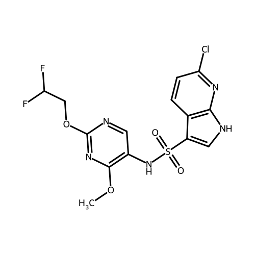 COc1nc(OCC(F)F)ncc1NS(=O)(=O)c1c[nH]c2nc(Cl)ccc12